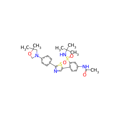 CC(=O)Nc1ccc(-c2cnc(-c3ccc(N4COC(C)(C)C4)cc3)s2)c(S(=O)(=O)NC(C)(C)C)c1